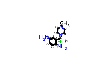 CN1CCN(Cc2cc(N)ccc2N)CC1.Cl